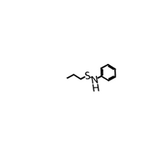 CCCSNc1ccccc1